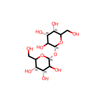 OCC1O[C@H](O[C@H]2OC(CO)[C@@H](O)[C@@H](O)C2O)C(O)[C@H](O)[C@@H]1O